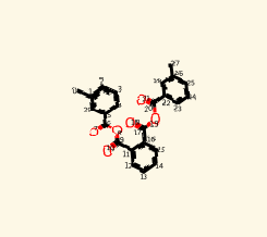 Cc1cccc(C(=O)OC(=O)c2ccccc2C(=O)OC(=O)c2cccc(C)c2)c1